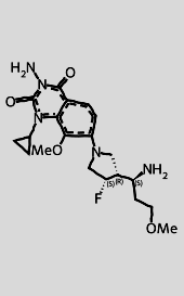 COCC[C@H](N)[C@H]1CN(c2ccc3c(=O)n(N)c(=O)n(C4CC4)c3c2OC)C[C@H]1F